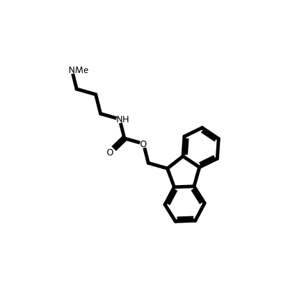 CNCCCNC(=O)OCC1c2ccccc2-c2ccccc21